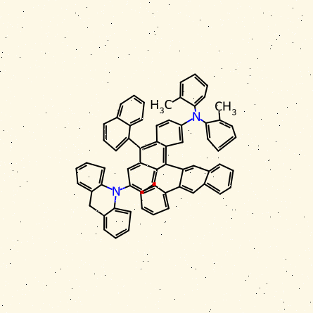 Cc1ccccc1N(c1ccc2c(-c3cccc4ccccc34)c3cc(N4c5ccccc5Cc5ccccc54)ccc3c(-c3cc4ccccc4cc3-c3ccccc3)c2c1)c1ccccc1C